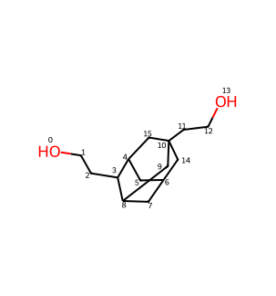 OCCC1C2CC3CC1CC(CCO)(C3)C2